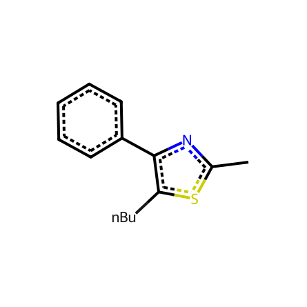 [CH2]CCCc1sc(C)nc1-c1ccccc1